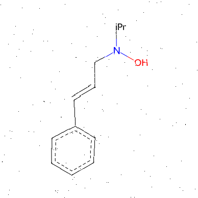 CC(C)N(O)CC=Cc1ccccc1